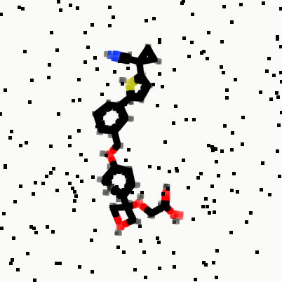 N#CC1(c2ccc(-c3cccc(COc4ccc(C5(OCC(=O)O)COC5)cc4)c3)s2)CC1